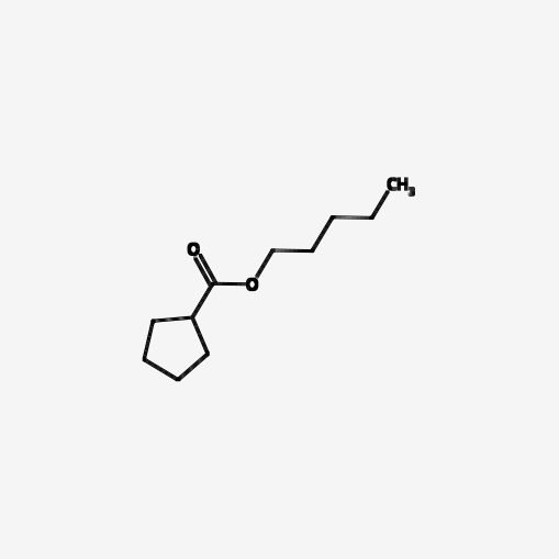 CCCCCOC(=O)C1CCCC1